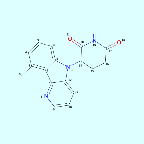 Cc1cccc2c1c1ncccc1n2C1CCC(=O)NC1=O